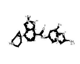 CCn1cc2c([C@]34CCNCC3C4)ccc(C(=O)Nc3cc(F)c4nc(C)cn4c3)c2n1